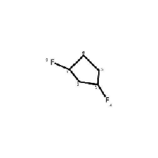 FC1[CH]C(F)CC1